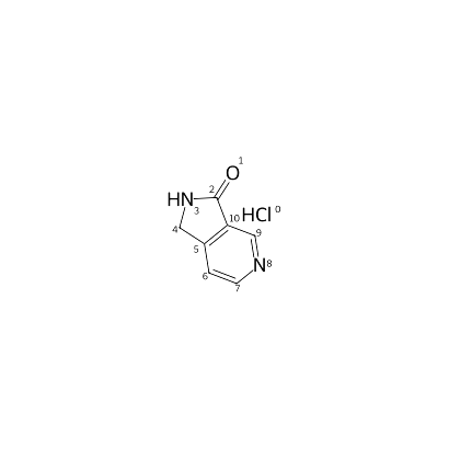 Cl.O=C1NCc2ccncc21